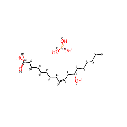 CCCCCCC(O)C/C=C\CCCCCCCC(=O)O.OP(O)O